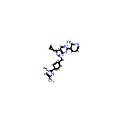 CC(C)c1ncccc1-c1ncc2c(C3CC3)nn(Cc3ccc(-c4nc(C(F)(F)F)cn4C)cc3)c2n1